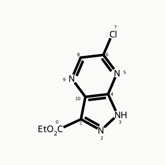 CCOC(=O)c1n[nH]c2nc(Cl)cnc12